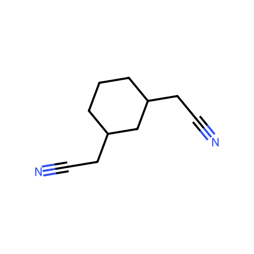 N#CCC1CCCC(CC#N)C1